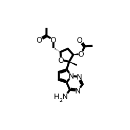 CC(=O)OC[C@@H]1C[C@@H](OC(C)=O)[C@](C)(c2ccc3c(N)ncnn23)O1